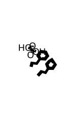 C=CCc1ccccc1.C=CCc1ccccc1.O=S(=O)(O)O